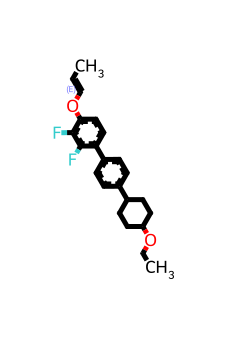 C/C=C/Oc1ccc(-c2ccc(C3CCC(OCC)CC3)cc2)c(F)c1F